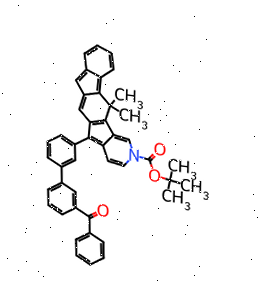 CC(C)(C)OC(=O)n1ccc2c(-c3cccc(-c4cccc(C(=O)c5ccccc5)c4)c3)c3c(c-2c1)C(C)(C)C1=c2ccccc2=CC1=C3